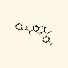 CC(Cc1ccc(C(=O)NCc2ccccc2)cc1)C(N)C(O)c1cccc(Cl)c1